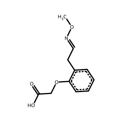 CON=CCc1ccccc1OCC(=O)O